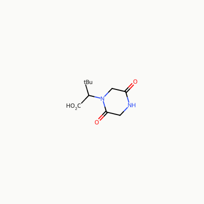 CC(C)(C)C(C(=O)O)N1CC(=O)NCC1=O